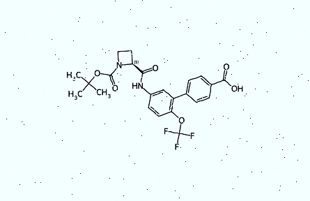 CC(C)(C)OC(=O)N1CC[C@H]1C(=O)Nc1ccc(OC(F)(F)F)c(-c2ccc(C(=O)O)cc2)c1